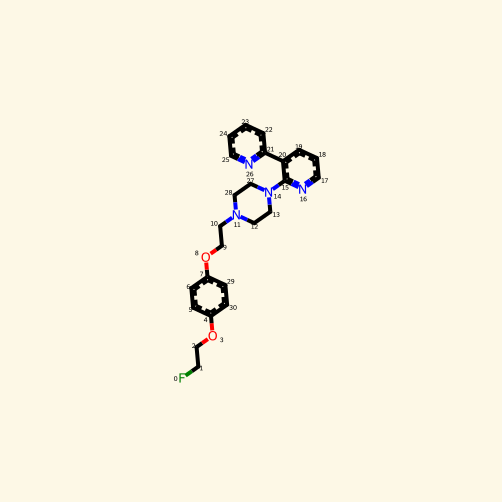 FCCOc1ccc(OCCN2CCN(c3ncccc3-c3ccccn3)CC2)cc1